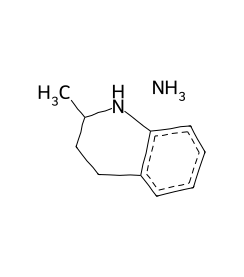 CC1CCc2ccccc2N1.N